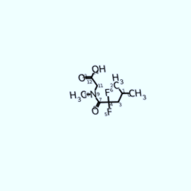 CC(C)CC(F)(F)C(=O)N(C)CC(=O)O